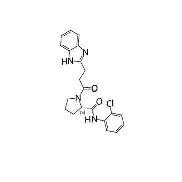 O=C(Nc1ccccc1Cl)[C@@H]1CCCN1C(=O)CCc1nc2ccccc2[nH]1